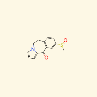 C[S+]([O-])c1ccc2c(c1)C(=O)c1cccn1CC2